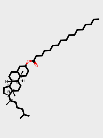 CCCCCCCCCCCCCCCCC(=O)OC1CC[C@@]2(C)C(=CC[C@H]3[C@@H]4CC[C@H]([C@H](C)CCCC(C)C)[C@@]4(C)CC[C@@H]32)C1